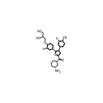 N#Cc1ccc(-c2cc(C(=O)N3CCC[C@@H](N)C3)sc2-c2ccc(OCC(O)CO)c(F)c2)cc1F